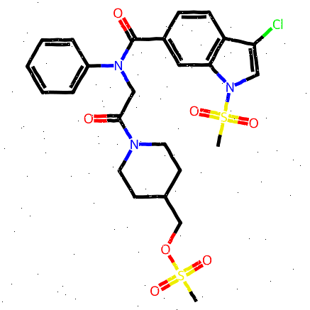 CS(=O)(=O)OCC1CCN(C(=O)CN(C(=O)c2ccc3c(Cl)cn(S(C)(=O)=O)c3c2)c2ccccc2)CC1